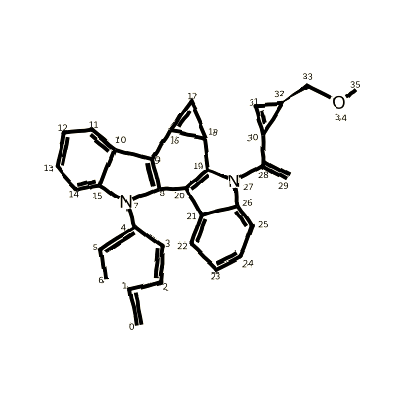 C=C/C=C\C(=C/C)n1c2c(c3ccccc31)C1=CC1c1c-2c2ccccc2n1C(=C)C1=C[C@H]1COC